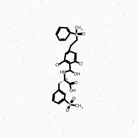 CP(=O)(CCc1cc(Cl)c(C(O)N[C@@H](Cc2cccc(S(C)(=O)=O)c2)C(=O)O)c(Cl)c1)c1ccccc1